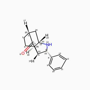 O=C1[C@@H]2CC[C@@H]3[C@H]1[C@@H](c1ccccc1)N[C@H]3C2